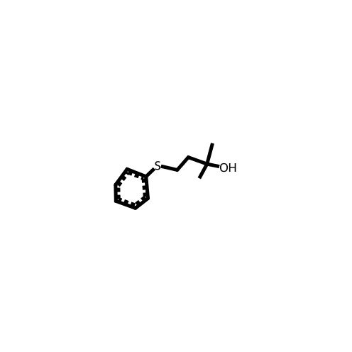 CC(C)(O)CCSc1ccccc1